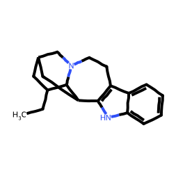 CCC1CC2CC3c4[nH]c5ccccc5c4CCN(C2)C13